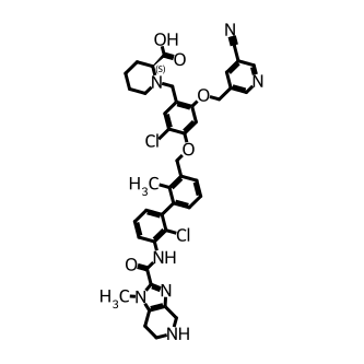 Cc1c(COc2cc(OCc3cncc(C#N)c3)c(CN3CCCC[C@H]3C(=O)O)cc2Cl)cccc1-c1cccc(NC(=O)c2nc3c(n2C)CCNC3)c1Cl